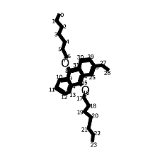 CCCCCCCOc1c2ccccc2c(OCCCCCCC)c2cc(CC)ccc12